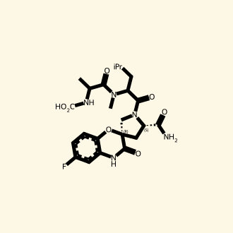 CC(C)CC(C(=O)N1C[C@@]2(C[C@H]1C(N)=O)Oc1ccc(F)cc1NC2=O)N(C)C(=O)C(C)NC(=O)O